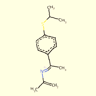 C=C(C)/N=C(\C)c1ccc(SC(C)C)cc1